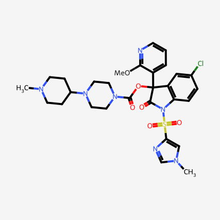 COc1ncccc1C1(OC(=O)N2CCN(C3CCN(C)CC3)CC2)C(=O)N(S(=O)(=O)c2cn(C)cn2)c2ccc(Cl)cc21